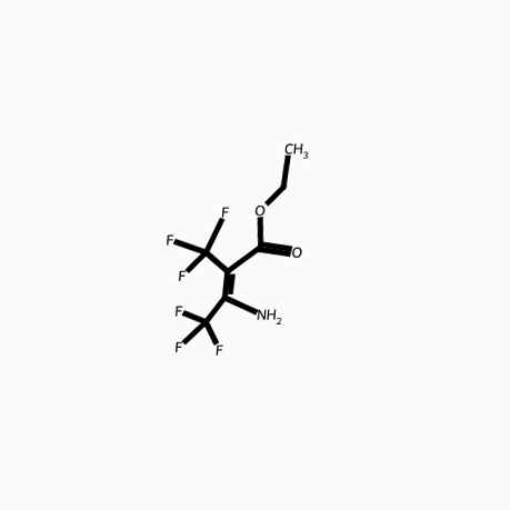 CCOC(=O)/C(=C(\N)C(F)(F)F)C(F)(F)F